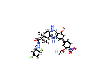 COc1cc(C2=CC3=C(CNc4ccc(C(C)(C)C(=O)NCc5cc(F)ccc5F)cc4N3)C(=O)C2)ccc1[N+](=O)[O-]